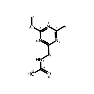 COc1nc(C)nc(CNC(=O)O)n1